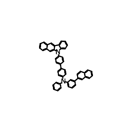 c1ccc(N(c2ccc(-c3ccc(-n4c5ccccc5c5cc6ccccc6cc54)cc3)cc2)c2cccc(-c3ccc4ccccc4c3)c2)cc1